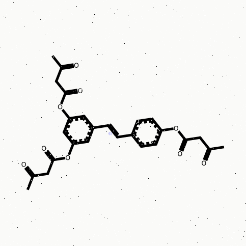 CC(=O)CC(=O)Oc1ccc(/C=C/c2cc(OC(=O)CC(C)=O)cc(OC(=O)CC(C)=O)c2)cc1